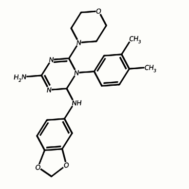 Cc1ccc(N2C(N3CCOCC3)=NC(N)=NC2Nc2ccc3c(c2)OCO3)cc1C